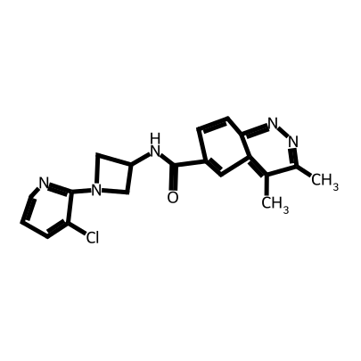 Cc1nnc2ccc(C(=O)NC3CN(c4ncccc4Cl)C3)cc2c1C